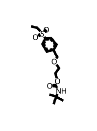 CCS(=O)(=O)c1ccc(COCCOC(=O)NC(C)(C)C)cc1